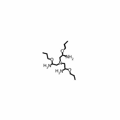 CCCOC(N)CN(CC(N)OCCC)CC(N)OCCC